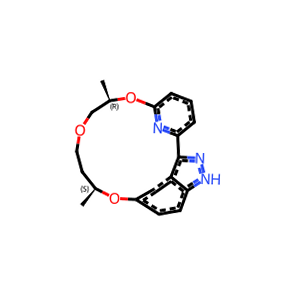 C[C@@H]1COCC[C@H](C)Oc2ccc3[nH]nc(c3c2)-c2cccc(n2)O1